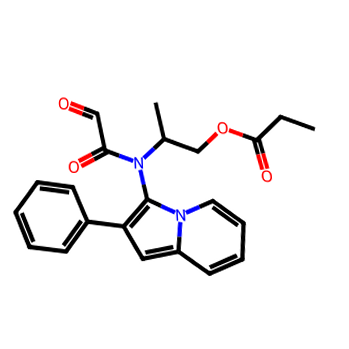 CCC(=O)OCC(C)N(C(=O)C=O)c1c(-c2ccccc2)cc2ccccn12